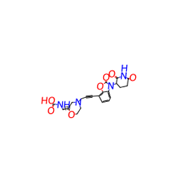 O=C(O)NC[C@H]1CN(CC#Cc2cccc3c2oc(=O)n3C2CCC(=O)NC2=O)CCO1